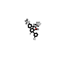 COc1cccc(-c2c(F)ccc(C3(c4cccc(OS(C)(=O)=O)c4)N=C(N)N(C)C3=O)c2C#N)c1.Cl